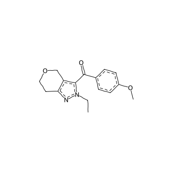 CCn1nc2c(c1C(=O)c1ccc(OC)cc1)COCC2